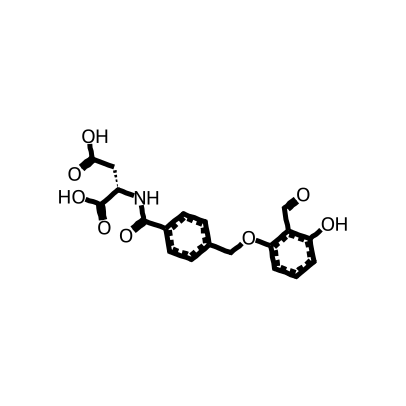 O=Cc1c(O)cccc1OCc1ccc(C(=O)N[C@@H](CC(=O)O)C(=O)O)cc1